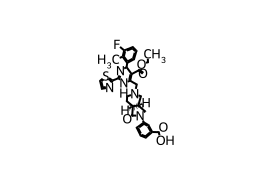 CCOC(=O)C1=C(CN2CC[C@H]3C(=O)N(c4cccc(C(=O)O)c4)C[C@H]3C2)NC(c2nccs2)=NC1c1cccc(F)c1C